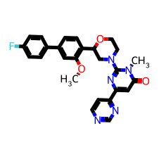 COc1cc(-c2ccc(F)cc2)ccc1C1CN(c2nc(-c3ccncn3)cc(=O)n2C)CCO1